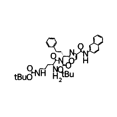 CC(C)(C)OC(=O)NCCC[C@@H](N)C(=O)N(C(=O)OC(C)(C)C)[C@H](CCc1ccccc1)c1nc(C(=O)Nc2ccc3ccccc3c2)co1